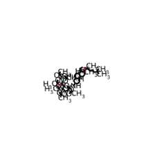 CC(=O)OC[C@H](OC(C)=O)[C@@H](OC(C)=O)[C@@H]1O[C@@](CNC2CC[C@@]3(C)C(CC[C@H]4[C@@H]5CC[C@H]([C@H](C)CCCC(C)C)[C@@]5(C)CC[C@@H]43)C2)(OC(C)=O)C[C@H](OC(C)=O)[C@H]1OC(C)=O